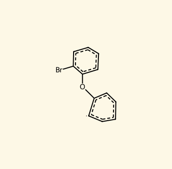 Brc1ccccc1Oc1[c]cccc1